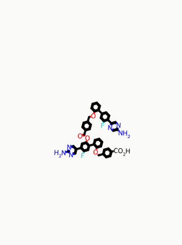 Nc1cnc(-c2ccc(-c3ccccc3OCc3ccc(C(=O)Oc4cc(-c5cnc(N)nc5)c(F)cc4-c4ccccc4OCc4ccc(C(=O)O)cc4)cc3)cc2F)cn1